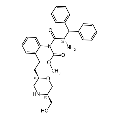 COC(=O)N(C(=O)[C@@H](N)C(c1ccccc1)c1ccccc1)c1ccccc1CC[C@@H]1CN[C@H](CO)CO1